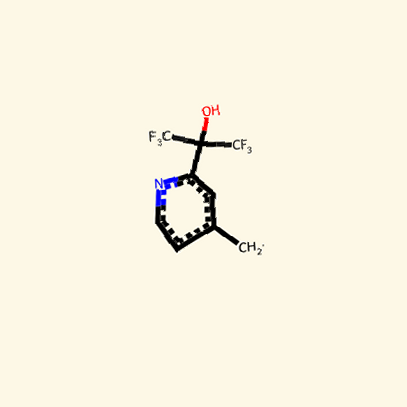 [CH2]c1ccnc(C(O)(C(F)(F)F)C(F)(F)F)c1